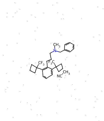 CC#N.CN(CCCc1c(C2(C(F)(F)F)CCC2)cccc1C1(C(F)(F)F)CCC1)Cc1ccccc1